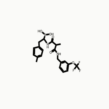 Cc1ccc(CC(NC(=O)C(C)C(=O)NCc2cccc(OC(F)(F)F)c2)B(O)O)cc1